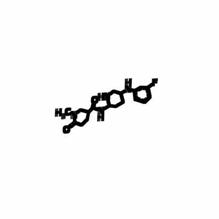 CN1CC(C(=O)NC2CCC(Nc3cccc(F)c3)CN2)CCC1=O